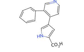 O=C(O)c1cc(-c2ccncc2-c2ccccc2)c[nH]1